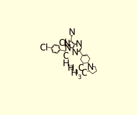 CC1CC(c2cnc3c(C#N)nn(C(C)c4ccc(Cl)cc4Cl)c3n2)=CCC1N1CCCC1C